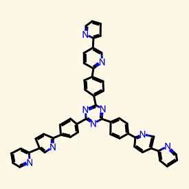 c1ccc(-c2ccc(-c3ccc(-c4nc(-c5ccc(-c6ccc(-c7ccccn7)cn6)cc5)nc(-c5ccc(-c6ccc(-c7ccccn7)cn6)cc5)n4)cc3)nc2)nc1